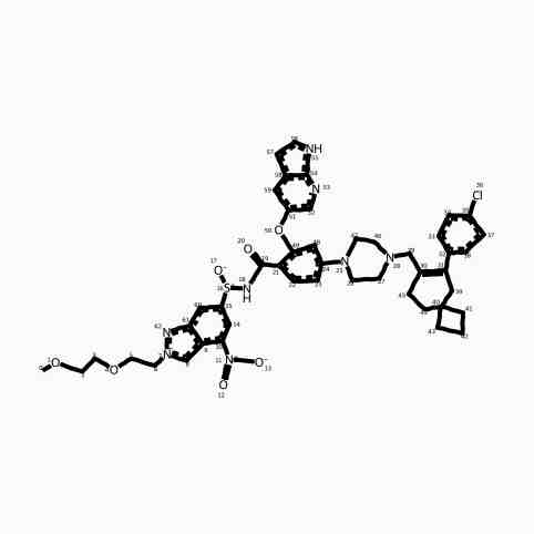 COCCOCCn1cc2c([N+](=O)[O-])cc([S+]([O-])NC(=O)c3ccc(N4CCN(CC5=C(c6ccc(Cl)cc6)CC6(CCC6)CC5)CC4)cc3Oc3cnc4[nH]ccc4c3)cc2n1